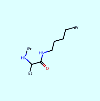 CCC(NC(C)C)C(=O)NCCCCC(C)C